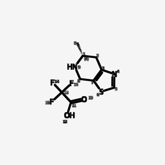 C[C@@H]1Cc2ncsc2CN1.O=C(O)C(F)(F)F